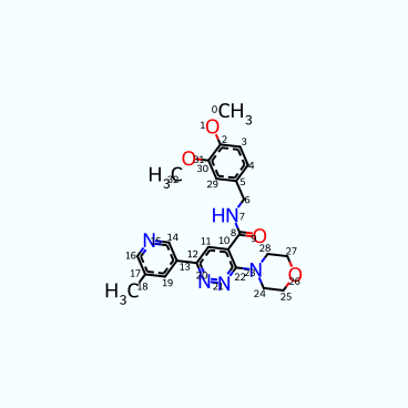 COc1ccc(CNC(=O)c2cc(-c3cncc(C)c3)nnc2N2CCOCC2)cc1OC